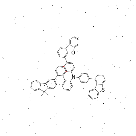 CC1(C)c2ccccc2-c2cc(-c3ccccc3-c3ccccc3N(c3ccc(-c4cccc5c4oc4ccccc45)cc3)c3ccc(-c4cccc5sc6ccccc6c45)cc3)ccc21